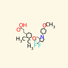 COc1ccc(-n2ccc(C(F)(F)F)c2COc2ccc(CCC(=O)O)c(C)c2C)cc1